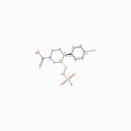 CS(=O)(=O)OC[C@@H]1CN(C(=O)O)CC[C@H]1c1ccc(F)cc1